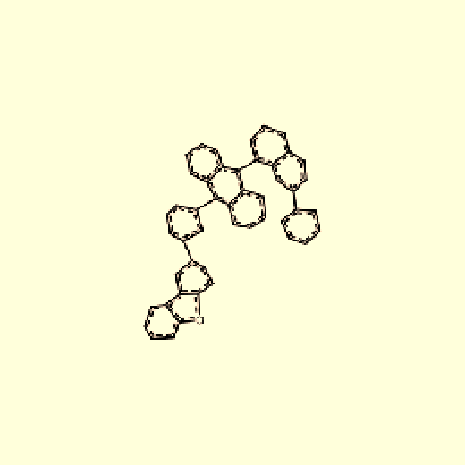 c1ccc(-c2ccc3cccc(-c4c5ccccc5c(-c5cccc(-c6ccc7oc8ccccc8c7c6)c5)c5ccccc45)c3c2)cc1